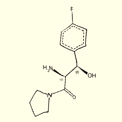 N[C@H](C(=O)N1CCCC1)[C@H](O)c1ccc(F)cc1